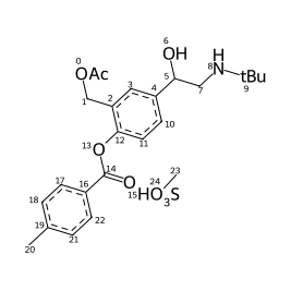 CC(=O)OCc1cc(C(O)CNC(C)(C)C)ccc1OC(=O)c1ccc(C)cc1.CS(=O)(=O)O